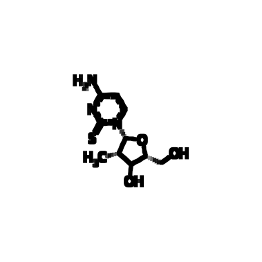 C[C@H]1C(O)[C@@H](CO)O[C@H]1n1ccc(N)nc1=S